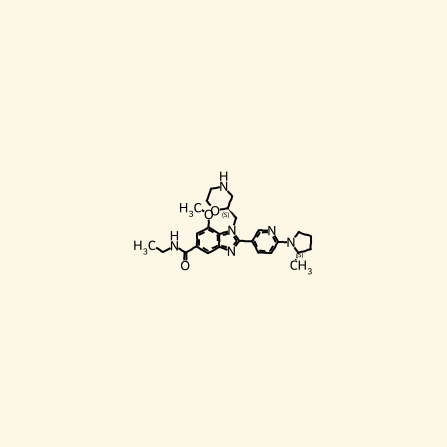 CCNC(=O)c1cc(OC)c2c(c1)nc(-c1ccc(N3CCC[C@@H]3C)nc1)n2C[C@@H]1CNCCO1